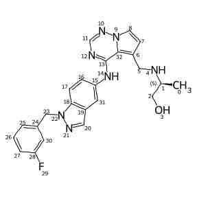 C[C@@H](CO)NCc1ccn2ncnc(Nc3ccc4c(cnn4Cc4cccc(F)c4)c3)c12